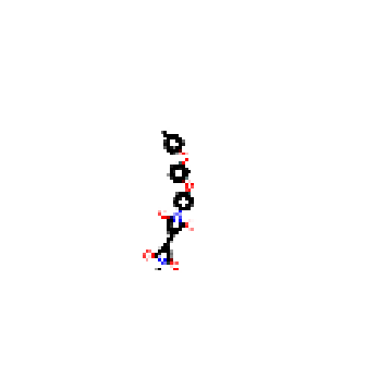 Cc1ccc(Oc2cccc(Oc3ccc(N4C(=O)C5C(C4=O)C5C4C5C(=O)N(C)C(=O)C54)cc3)c2)cc1